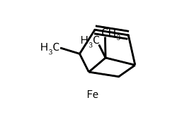 CC1C#CC2CC1C2(C)C.[Fe]